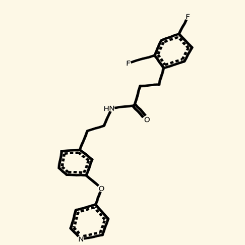 O=C(CCc1ccc(F)cc1F)NCCc1cccc(Oc2ccncc2)c1